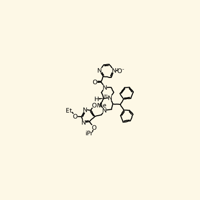 CCOc1nc(OC)c(CN2CC(C(c3ccccc3)c3ccccc3)N3CCN(C(=O)c4c[n+]([O-])ccn4)C[C@H]3C2)c(OC(C)C)n1